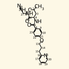 CC(C)CC(NC(=O)c1ccc(OCCCc2ccccn2)cc1)C(=O)NCC#N